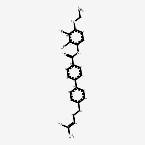 CCOc1ccc(OC(=O)c2ccc(-c3ccc(CCC=C(C)F)cc3)cc2)c(F)c1F